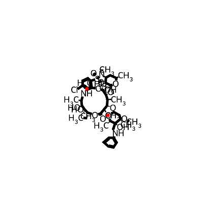 CC[C@H]1OC(=O)[C@H](C)[C@@H](O[C@H]2C[C@@](C)(OC)[C@](O)(CNc3ccccc3)[C@H](C)O2)[C@H](C)[C@@H](O[C@@H]2O[C@H](C)C[C@H](N(C)S(=O)(=O)c3ccc(Cl)cc3)[C@H]2O)[C@](C)(O)C[C@@H](C)CN[C@H](C)[C@@H](O)[C@]1(C)O